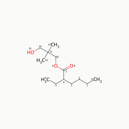 CCCCC(CC)C(=O)OCC(C)(C)CO